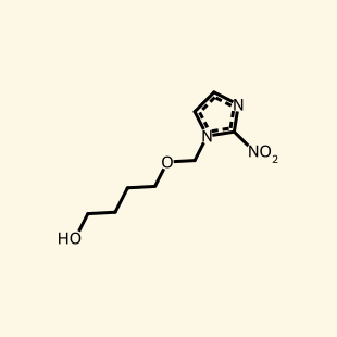 O=[N+]([O-])c1nccn1COCCCCO